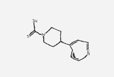 S=C(S)N1CCC(c2ccncc2)CC1